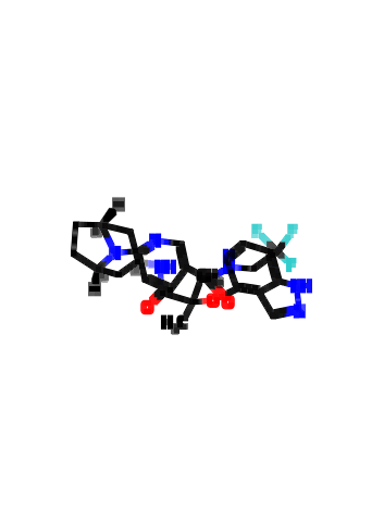 CC(C)(Oc1cccc2[nH]ncc12)C(=O)N[C@H]1C[C@H]2CC[C@@H](C1)N2c1ccc(C(=O)NCC(F)(F)F)cn1